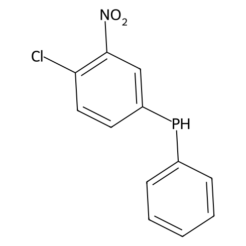 O=[N+]([O-])c1cc(Pc2ccccc2)ccc1Cl